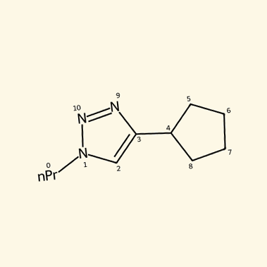 CCCn1cc(C2CCCC2)nn1